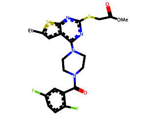 CCc1cc2c(N3CCN(C(=O)c4cc(F)ccc4F)CC3)nc(SCC(=O)OC)nc2s1